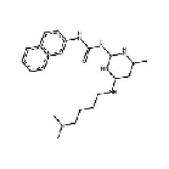 CC1CC(NCCCCN(C)C)NC(NC(=O)Nc2ccc3ccccc3c2)N1